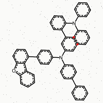 c1ccc(-c2ccc(N(c3ccc(-c4cccc5oc6ccccc6c45)cc3)c3cccc(-c4ccccc4N(c4ccccc4)c4ccccc4)c3)cc2)cc1